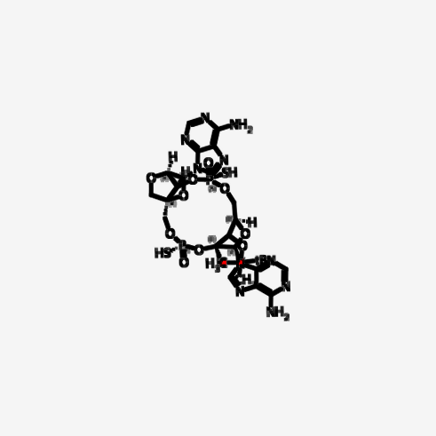 CC(C)(C)[Si](C)(C)OC1[C@H]2O[P@](=O)(S)OC[C@@]34CO[C@@H]([C@H](n5cnc6c(N)ncnc65)O3)[C@@H]4O[P@@](=O)(S)OC[C@H]1O[C@H]2n1cnc2c(N)ncnc21